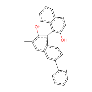 Cc1cc2cc(-c3ccccc3)ccc2c(-c2c(O)ccc3ccccc23)c1O